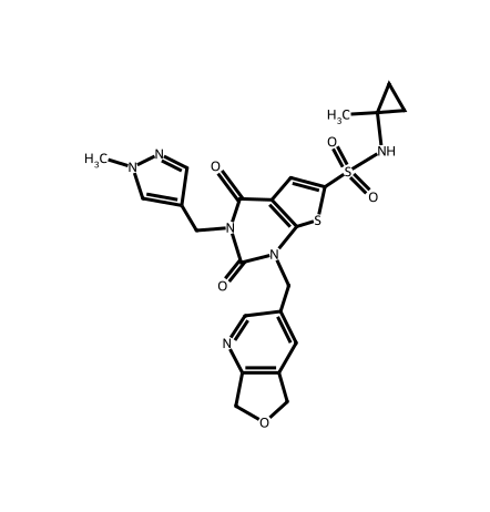 Cn1cc(Cn2c(=O)c3cc(S(=O)(=O)NC4(C)CC4)sc3n(Cc3cnc4c(c3)COC4)c2=O)cn1